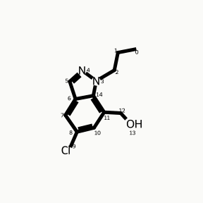 CCCn1ncc2cc(Cl)cc(CO)c21